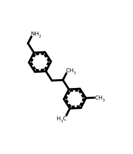 Cc1cc(C)cc(C(C)Cc2ccc(CN)cc2)c1